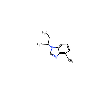 CCC(C)n1cnc2c(C)cccc21